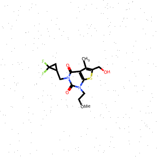 COCCn1c(=O)n(CC2CC2(F)F)c(=O)c2c(C)c(CO)sc21